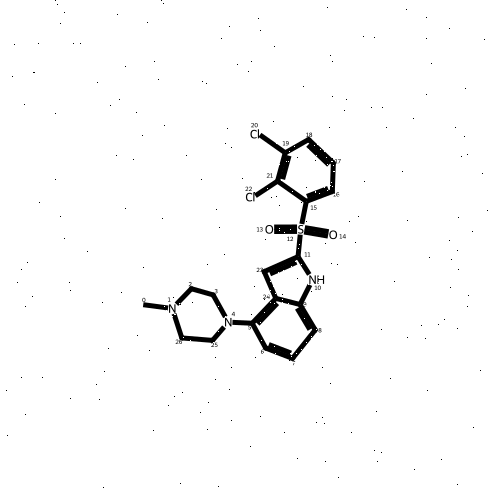 CN1CCN(c2cccc3[nH]c(S(=O)(=O)c4cccc(Cl)c4Cl)cc23)CC1